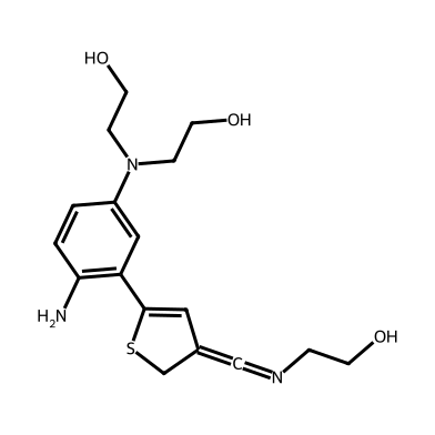 Nc1ccc(N(CCO)CCO)cc1C1=CC(=C=NCCO)CS1